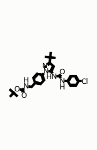 CC(C)(C)OC(=O)NCc1ccc(-n2nc(C(C)(C)C)cc2NC(=O)Nc2ccc(Cl)cc2)cc1